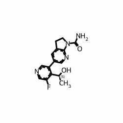 C[C@H](O)c1c(F)cncc1-c1cnc2c(c1)CCN2C(N)=O